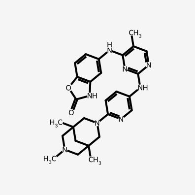 Cc1cnc(Nc2ccc(N3CC4(C)CN(C)CC(C)(C3)C4)nc2)nc1Nc1ccc2oc(=O)[nH]c2c1